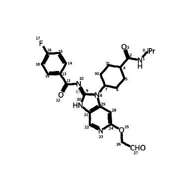 CC(C)NC(=O)C1CCC(n2/c(=N/C(=O)c3ccc(F)cc3)[nH]c3cnc(OCC=O)cc32)CC1